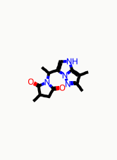 Cc1nn2c(C(C)N3C(=O)CC(C)C3=O)c[nH]c2c1C